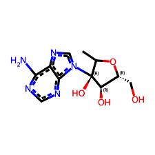 CC1O[C@H](CO)[C@@H](O)[C@]1(O)n1cnc2c(N)ncnc21